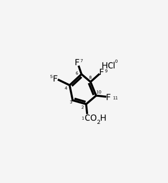 Cl.O=C(O)c1cc(F)c(F)c(F)c1F